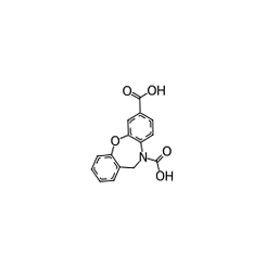 O=C(O)c1ccc2c(c1)Oc1ccccc1CN2C(=O)O